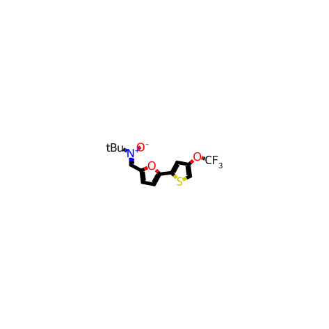 CC(C)(C)[N+]([O-])=Cc1ccc(-c2cc(OC(F)(F)F)cs2)o1